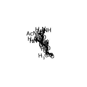 CC(=O)NCC(=O)N[C@@H](CCCNC(=N)N)C(=O)NCC(=O)N[C@@H](CCCNC(=N)N)C(=O)NCC(=O)N[C@@H](CCCN)C(=O)NCC(=O)N1C[C@@H](COP=O)O[C@@H](C)C1